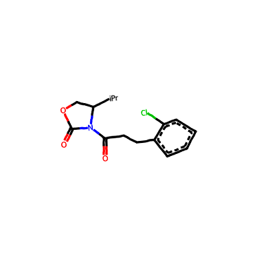 CC(C)C1COC(=O)N1C(=O)CCc1ccccc1Cl